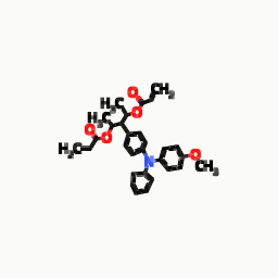 C=CC(=O)OC(C)C(c1ccc(N(c2ccccc2)c2ccc(OC)cc2)cc1)C(C)OC(=O)C=C